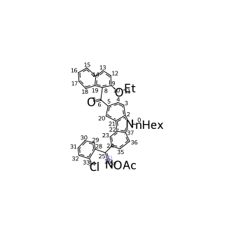 CCCCCCn1c2ccc(C(=O)c3c(OCC)ccc4ccccc34)cc2c2cc(/C(=N\OC(C)=O)c3ccccc3Cl)ccc21